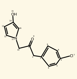 O=C(Cc1ccc(Cl)cc1)Cn1ccc(O)c1